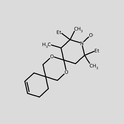 CCC1(C)CC2(OCC3(CC=CCC3)CO2)C(C)C(C)(CC)N1[O]